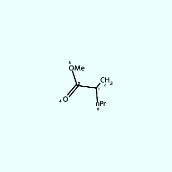 CCCC(C)C(=O)OC